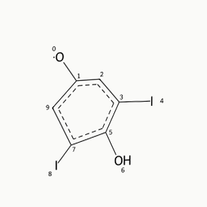 [O]c1cc(I)c(O)c(I)c1